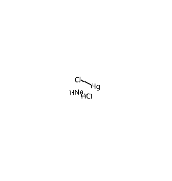 Cl.[Cl][Hg].[NaH]